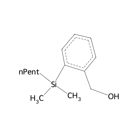 CCCCC[Si](C)(C)c1ccccc1CO